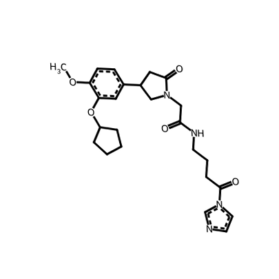 COc1ccc(C2CC(=O)N(CC(=O)NCCCC(=O)n3ccnc3)C2)cc1OC1CCCC1